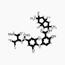 CNC(=O)/C(=N\N(C=O)c1cc(Cl)c(Oc2ccc(O)c(C(=O)NC3(C)CC4(F)CC(C)(F)CC4(F)C3)c2)c(Cl)c1)C(F)F